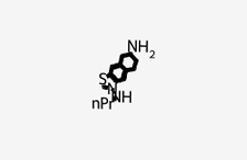 CCCNN1CSc2cc3c(cc21)CCC(N)C3